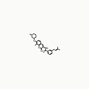 CC(C)=CCc1[c]ccc(C(=O)Nc2cc3ccc(OC4CCCN(C)C4)c(C)c3oc2=O)c1